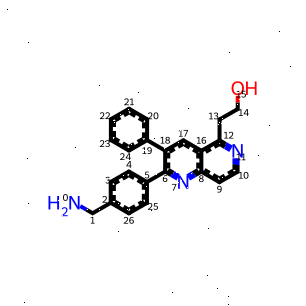 NCc1ccc(-c2nc3ccnc(CCO)c3cc2-c2ccccc2)cc1